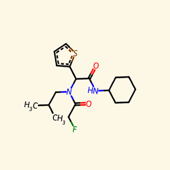 CC(C)CN(C(=O)CF)C(C(=O)NC1CCCCC1)c1cccs1